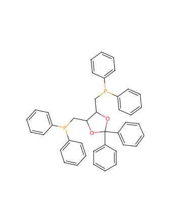 c1ccc(P(CC2OC(c3ccccc3)(c3ccccc3)OC2CP(c2ccccc2)c2ccccc2)c2ccccc2)cc1